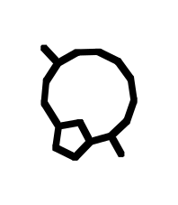 CC1CCCCCCC(C)C2CCC(CC1)C2